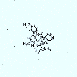 Cc1ccc2c(c1)c1c(n2CC(OC(=O)C(N)C(C)C)c2ccncc2)CCN(C)C1